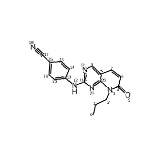 CCCn1c(=O)ccc2cnc(Nc3ccc(C#N)cc3)nc21